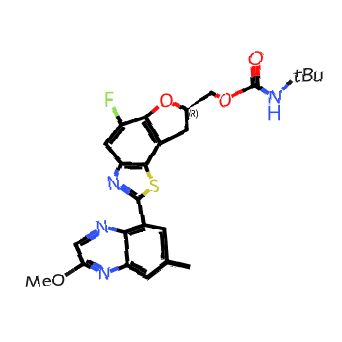 COc1cnc2c(-c3nc4cc(F)c5c(c4s3)C[C@H](COC(=O)NC(C)(C)C)O5)cc(C)cc2n1